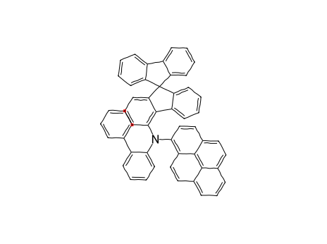 c1ccc(-c2ccccc2N(c2cccc3c2-c2ccccc2C32c3ccccc3-c3ccccc32)c2ccc3ccc4cccc5ccc2c3c45)cc1